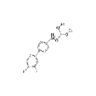 CCOC(OCC)O[SiH2]c1ccc(-c2ccc(F)c(F)c2)cc1